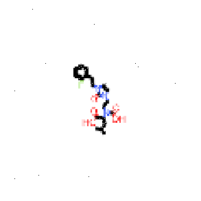 CC(C)CC(C(=O)O)N(CCn1ccn(CCc2ccccc2F)c1=O)C(=O)O